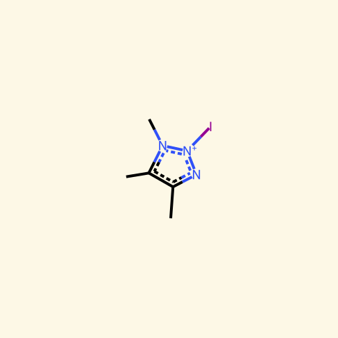 Cc1n[n+](I)n(C)c1C